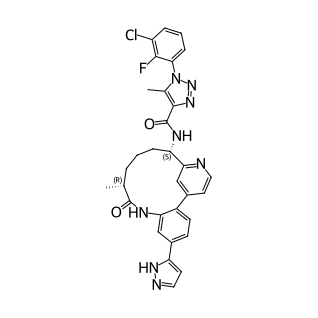 Cc1c(C(=O)N[C@H]2CCC[C@@H](C)C(=O)Nc3cc(-c4ccn[nH]4)ccc3-c3ccnc2c3)nnn1-c1cccc(Cl)c1F